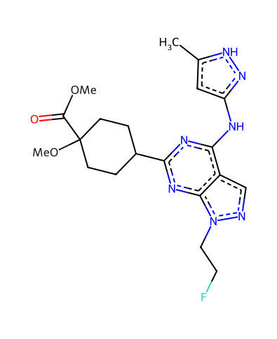 COC(=O)C1(OC)CCC(c2nc(Nc3cc(C)[nH]n3)c3cnn(CCF)c3n2)CC1